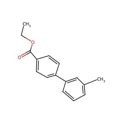 CCOC(=O)c1ccc(-c2[c]ccc(C)c2)cc1